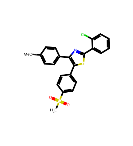 COc1ccc(-c2nc(-c3ccccc3Cl)sc2-c2ccc(S(C)(=O)=O)cc2)cc1